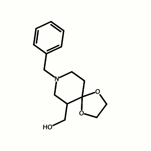 OCC1CN(Cc2ccccc2)CCC12OCCO2